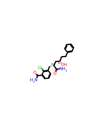 NC(=O)c1cccc(C[C@H](C[C@@H](O)[CH]Cc2ccccc2)C(N)=O)c1Cl